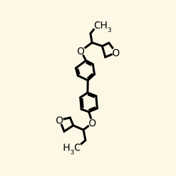 CCC(Oc1ccc(-c2ccc(OC(CC)C3COC3)cc2)cc1)C1COC1